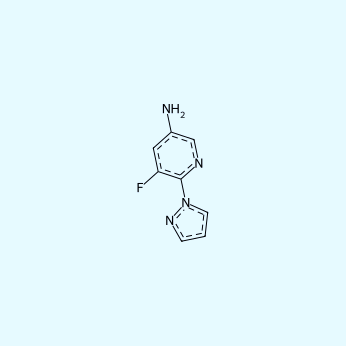 Nc1cnc(-n2cccn2)c(F)c1